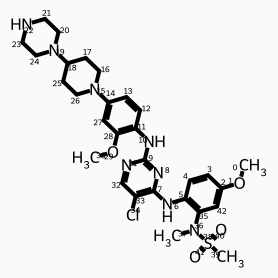 COc1ccc(Nc2nc(Nc3ccc(N4CCC(N5CCNCC5)CC4)cc3OC)ncc2Cl)c(N(C)S(C)(=O)=O)c1